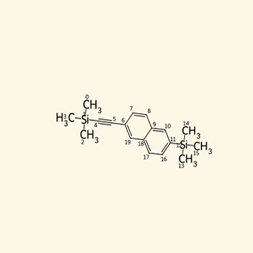 C[Si](C)(C)C#Cc1ccc2cc([Si](C)(C)C)ccc2c1